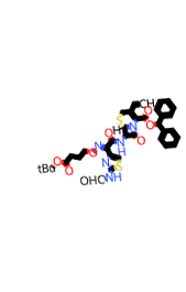 C=CC1=C(C(=O)OC(c2ccccc2)c2ccccc2)N2C(=O)C(NC(=O)/C(=N/OCCCC(=O)OC(C)(C)C)c3csc(NC=O)n3)[C@H]2SC1